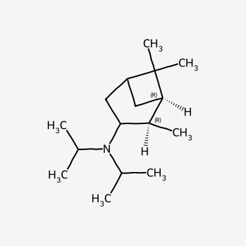 CC(C)N(C(C)C)C1CC2C[C@H]([C@H]1C)C2(C)C